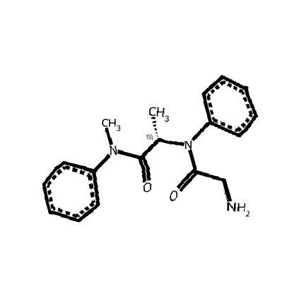 C[C@@H](C(=O)N(C)c1ccccc1)N(C(=O)CN)c1ccccc1